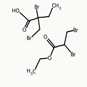 CCC(Br)(CBr)C(=O)O.CCOC(=O)C(Br)CBr